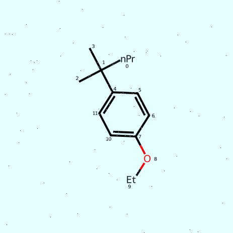 CCCC(C)(C)c1ccc(OCC)cc1